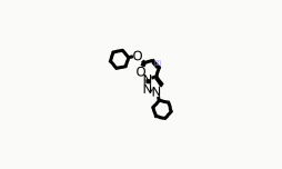 O=C(/C=C\c1cn(C2CCCCC2)nn1)OC1CCCCC1